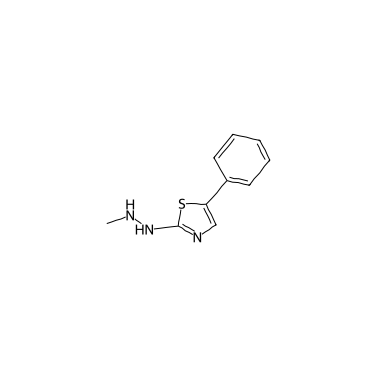 CNNc1ncc(-c2ccccc2)s1